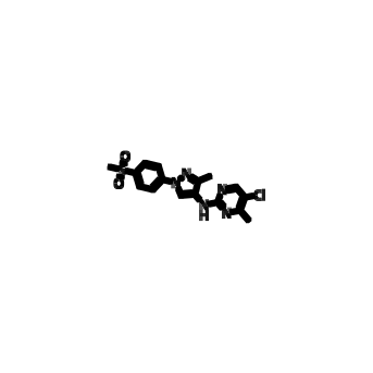 Cc1nc(Nc2cn(-c3ccc(S(C)(=O)=O)cc3)nc2C)ncc1Cl